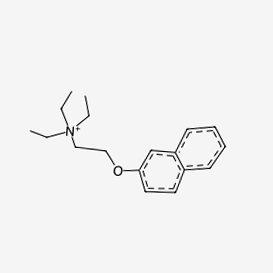 CC[N+](CC)(CC)CCOc1ccc2ccccc2c1